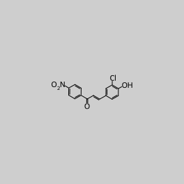 O=C(C=Cc1ccc(O)c(Cl)c1)c1ccc([N+](=O)[O-])cc1